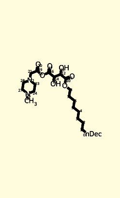 CCCCCCCCCCCCCCCCCCOC(=O)C(O)C(O)C(=O)OC(=O)CN1CCN(C)CC1